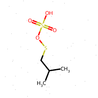 CC(C)CSOS(=O)(=O)O